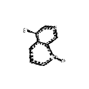 O[n+]1cccc2c(Br)cncc21